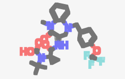 CN1C(=O)[C@H](NC(=O)C2(N(C(=O)O)C(C)(C)C)CC2)CN(Cc2ccc(OC(F)(F)F)cc2)c2ccccc21